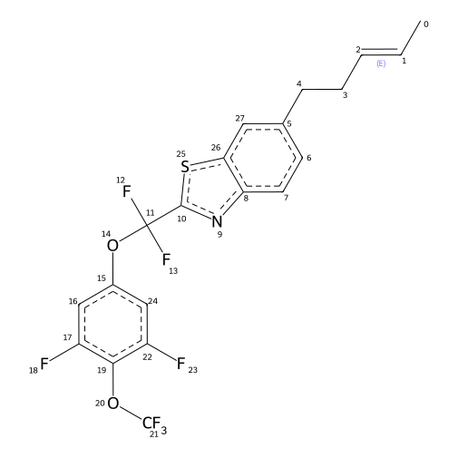 C/C=C/CCc1ccc2nc(C(F)(F)Oc3cc(F)c(OC(F)(F)F)c(F)c3)sc2c1